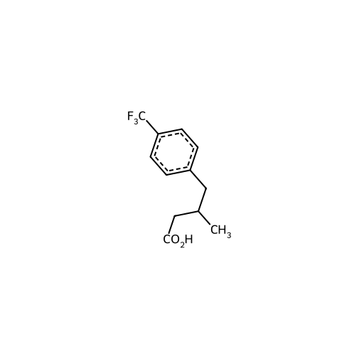 CC(CC(=O)O)Cc1ccc(C(F)(F)F)cc1